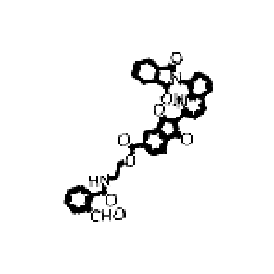 O=Cc1ccccc1C(=O)NCCOC(=O)c1ccc2c(c1)C(=O)C(c1ccc3cccc(N4C(=O)C5CC=CCC5C4O)c3n1)C2=O